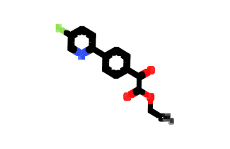 CCOC(=O)C(=O)c1ccc(-c2ccc(F)cn2)cc1